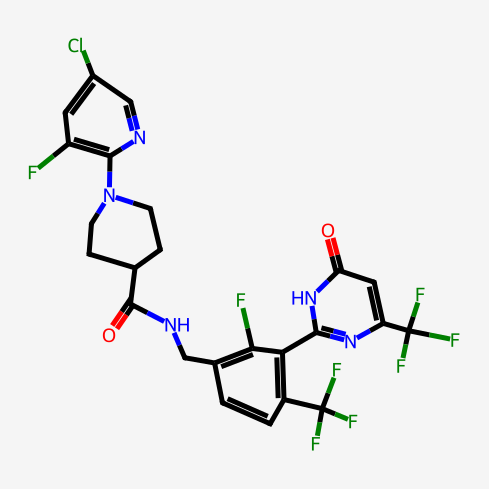 O=C(NCc1ccc(C(F)(F)F)c(-c2nc(C(F)(F)F)cc(=O)[nH]2)c1F)C1CCN(c2ncc(Cl)cc2F)CC1